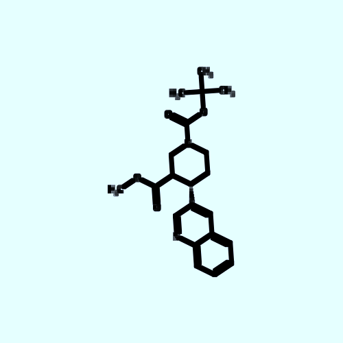 COC(=O)C1CN(C(=O)OC(C)(C)C)CC[C@@H]1c1cnc2ccccc2c1